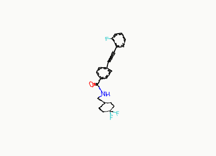 O=C(NCC1CCC(F)(F)CC1)c1ccc(C#Cc2ccccc2F)cc1